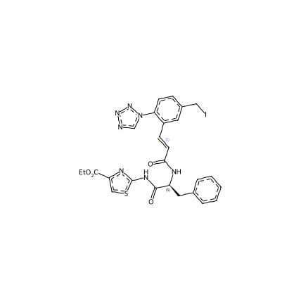 CCOC(=O)c1csc(NC(=O)[C@H](Cc2ccccc2)NC(=O)/C=C/c2cc(CI)ccc2-n2cnnn2)n1